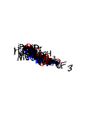 CC[C@H](C)[C@@H]([C@@H](CC(=O)N1CCC[C@H]1[C@H](OC)[C@@H](C)C(=O)NS(=O)(=O)Cc1ccc(CNC(=O)C(F)(F)F)cc1)OC)N(C)C(=O)[C@@H](NC(=O)[C@H](C(C)C)N(C)C)C(C)C